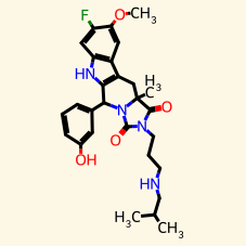 COc1cc2c3c([nH]c2cc1F)C(c1cccc(O)c1)N1C(=O)N(CCCNCC(C)C)C(=O)C1(C)C3